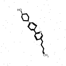 C=CCCCc1ccc(-c2ccc([C@H]3CC[C@H](O)CC3)cc2)nc1